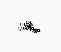 CC(=O)Nc1ccc(S(=O)(=O)Oc2ccccc2)cc1N/C(=N/C(=O)OC(C)C)NC(=O)OC(C)C